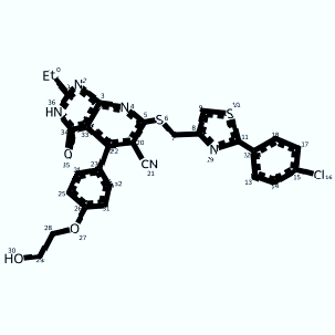 CCc1nc2nc(SCc3csc(-c4ccc(Cl)cc4)n3)c(C#N)c(-c3ccc(OCCO)cc3)c2c(=O)[nH]1